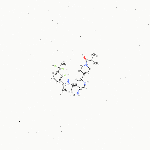 CC(C)C(=O)N1CC=C(c2cc3c(N[C@H](C)c4cccc(C(C)(F)F)c4F)ccnc3cn2)CC1